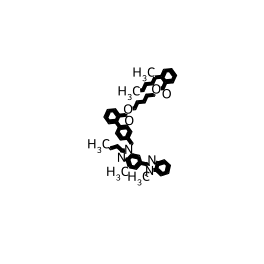 CCCCC(C)c1ccccc1C(=O)OCCCCCOC(=O)c1ccccc1-c1ccc(Cn2c(CCC)nc3c(C)cc(-c4nc5ccccc5n4C)cc32)cc1